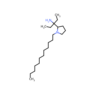 CCCCCCCCCCCCN1CCCC1C(N)(CC)CC